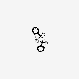 CCC(CC)(OC(CC)(CC)c1ccccc1)c1ccccc1